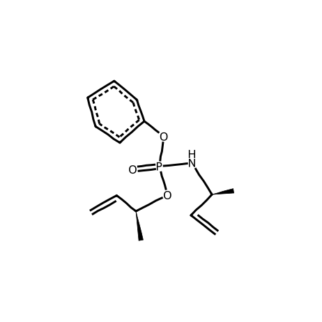 C=C[C@H](C)NP(=O)(Oc1ccccc1)O[C@@H](C)C=C